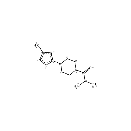 Cc1noc(C2CCN(C(=O)C(C)N)CC2)n1